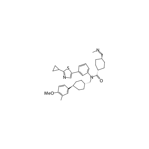 C/N=C\[C@H]1CC[C@H](C(=O)N(C[C@H]2CC[C@H](c3ccc(OC)c(C)c3)CC2)c2cccc(-c3cnc(C4CC4)s3)c2)CC1